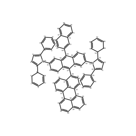 C1=CCC(c2ccc(-c3ccccc3)n2-c2ccc3c(-c4ccc5c6cccc7cccc(c8cccc4c85)c76)c4cc(-n5c(-c6ccccc6)ccc5C5C=CC=CC5)ccc4c(-c4ccc5ccccc5c4)c3c2)C=C1